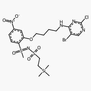 C[Si](C)(C)CCS(=O)(=O)N=S(C)(=O)c1ccc([N+](=O)[O-])cc1OCCCCNc1nc(Cl)ncc1Br